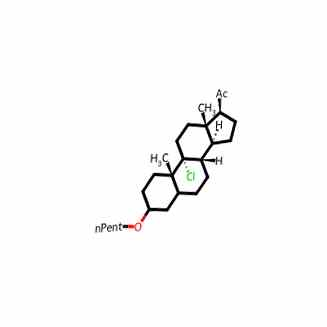 CCCCCOC1CC[C@@]2(C)C(CC[C@H]3[C@@H]4CC[C@H](C(C)=O)[C@@]4(C)CC[C@@]32Cl)C1